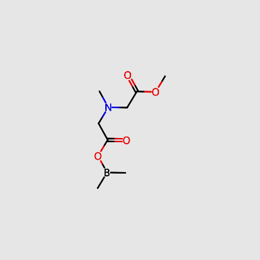 COC(=O)CN(C)CC(=O)OB(C)C